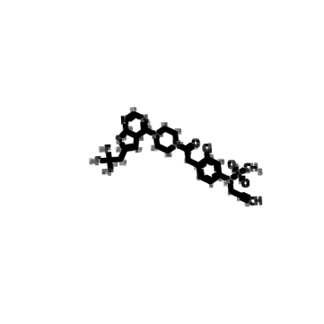 C#CCN(c1ccc(CC(=O)N2CCN(C3=NC=NC4SC(CC(F)(F)F)=CC34)CC2)c(Cl)c1)S(C)(=O)=O